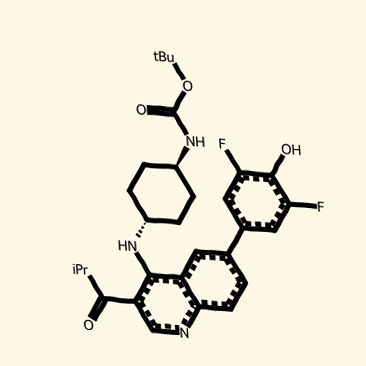 CC(C)C(=O)c1cnc2ccc(-c3cc(F)c(O)c(F)c3)cc2c1N[C@H]1CC[C@H](NC(=O)OC(C)(C)C)CC1